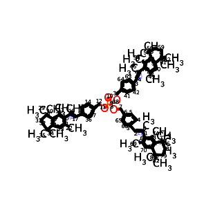 C/C(=C\c1ccc(COP(=O)(OCc2ccc(/C=C(\C)c3c(C)cc4c(c3C)C(C)(C)CCC4(C)C)cc2)OCc2ccc(/C=C(\C)c3c(C)cc4c(c3C)C(C)(C)CCC4(C)C)cc2)cc1)c1c(C)cc2c(c1C)C(C)(C)CCC2(C)C